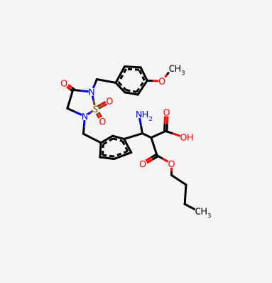 CCCCOC(=O)C(C(=O)O)C(N)c1cccc(CN2CC(=O)N(Cc3ccc(OC)cc3)S2(=O)=O)c1